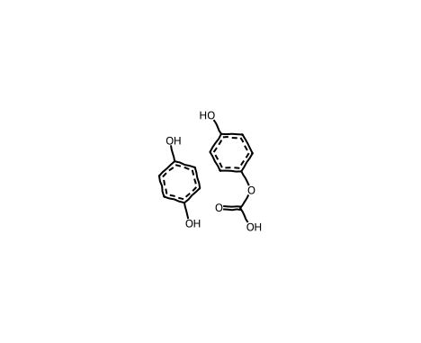 O=C(O)Oc1ccc(O)cc1.Oc1ccc(O)cc1